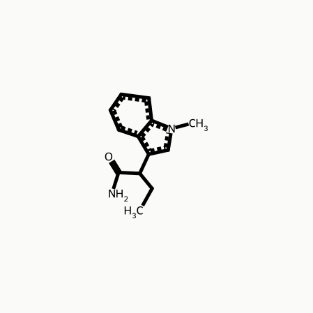 CCC(C(N)=O)c1cn(C)c2ccccc12